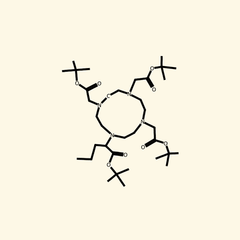 CCCC(C(=O)OC(C)(C)C)N1CCN(CC(=O)OC(C)(C)C)CCN(CC(=O)OC(C)(C)C)CCN(CC(=O)OC(C)(C)C)CC1